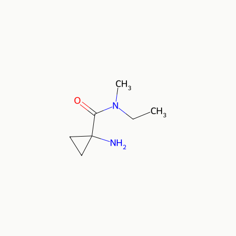 CCN(C)C(=O)C1(N)CC1